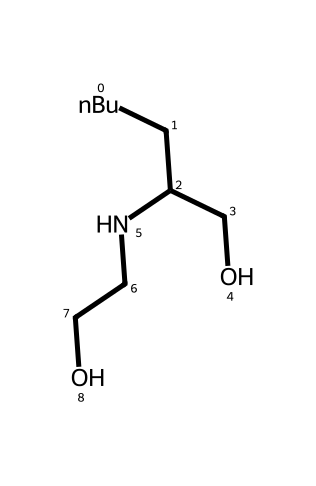 CCCCCC(CO)NCCO